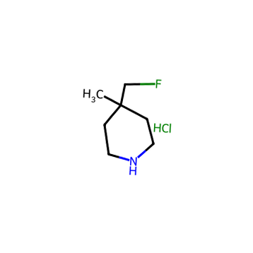 CC1(CF)CCNCC1.Cl